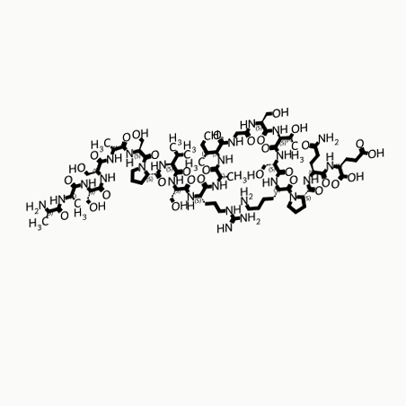 CC[C@H](C)[C@H](NC(=O)[C@H](C)NC(=O)[C@H](CCCNC(=N)N)NC(=O)[C@H](CO)NC(=O)[C@@H](NC(=O)[C@@H]1CCCN1C(=O)[C@H](CO)NC(=O)[C@H](C)NC(=O)[C@H](CO)NC(=O)[C@H](CO)NC(=O)[C@H](C)NC(=O)[C@H](C)N)C(C)C)C(=O)NCC(=O)N[C@@H](CO)C(=O)N[C@H](C(=O)N[C@@H](CO)C(=O)N[C@@H](CCCCN)C(=O)N1CCC[C@H]1C(=O)N[C@@H](CCC(N)=O)C(=O)N[C@@H](CCC(=O)O)C(=O)O)[C@@H](C)O